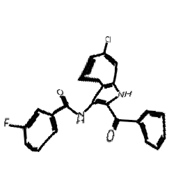 O=C(Nc1c(C(=O)c2ccccc2)[nH]c2cc(Cl)ccc12)c1cccc(F)c1